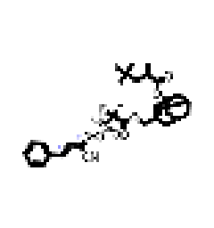 CC(CC(C)(C)I)C(=O)OC12CC3CC(CC(COC(=O)C(F)(F)S(=O)(=O)O/N=C(C#N)/C=C/c4ccccc4)(C3)C1)C2